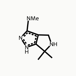 CNc1n[nH]c2c1CNC2(C)C